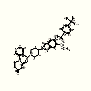 COc1cc2nn(C3CCN(Cc4ccncc4N4CCC(=O)NC4=O)CC3)cc2cc1NC(=O)c1ccc(C(F)(F)F)nc1